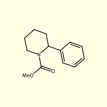 COC(=O)N1CCCCC1c1ccccc1